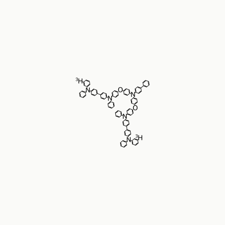 [3H]c1cccc(N(c2ccccc2)c2ccc(-c3ccc(N(c4ccccc4)c4ccc(Oc5ccc(N(c6ccc(Oc7ccc(N(c8ccccc8)c8ccc(-c9ccc(N(c%10ccccc%10)c%10cccc([3H])c%10)cc9)cc8)cc7)cc6)c6ccc(-c7ccccc7)cc6)cc5)cc4)cc3)cc2)c1